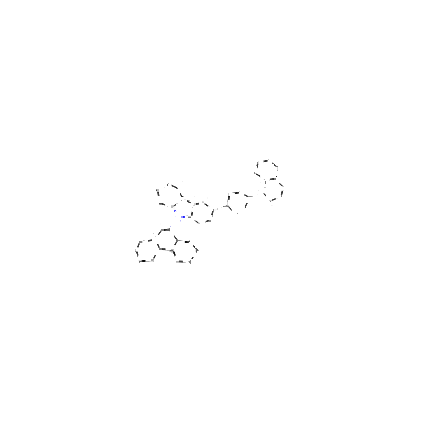 c1ccc2c(-c3ccc(-c4ccc5c(c4)c4ccccc4n5-c4cc5ccccc5c5ccccc45)cc3)cccc2c1